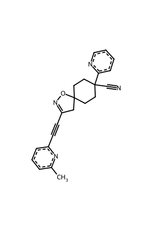 Cc1cccc(C#CC2=NOC3(CCC(C#N)(c4ccccn4)CC3)C2)n1